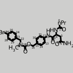 CCCC(=O)NC(CC(N)=O)C(=O)Nc1ccc(COC(=O)N(C)Cc2ccc(Br)cc2)cc1